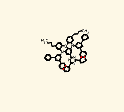 CCCCc1ccc2c(c1)N(c1cc(-c3ccccc3)cc(-c3ccccc3)c1)c1cc(-c3nc(-c4ccccc4)nc(-c4ccccc4)n3)cc3c1B2c1ccc(CCCC)cc1N3c1cc(-c2ccccc2)cc(-c2ccccc2)c1